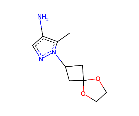 Cc1c(N)cnn1C1CC2(C1)OCCO2